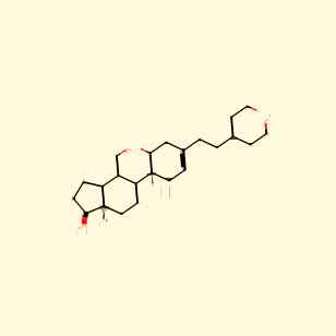 C[C@]12CC=C(CCC3CCOCC3)CC1OCC1C2CC[C@]2(C)C(=O)CCC12